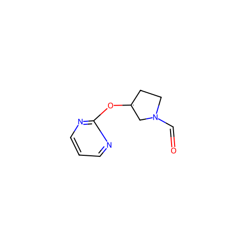 O=CN1CC[C](Oc2ncccn2)C1